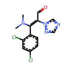 CN(C)C(=C(C=O)n1cncn1)c1ccc(Cl)cc1Cl